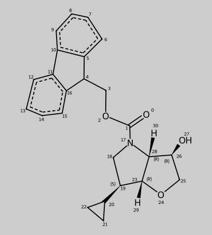 O=C(OCC1c2ccccc2-c2ccccc21)N1C[C@H](C2CC2)[C@H]2OC[C@H](O)[C@H]21